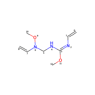 C=C/N=C(\NCN(C=C)OC)OC